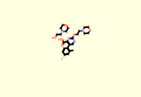 Cc1cc(F)ccc1-c1cnc(OCCN2CCOCC2)nc1C(=O)O.OCCN1CCOCC1